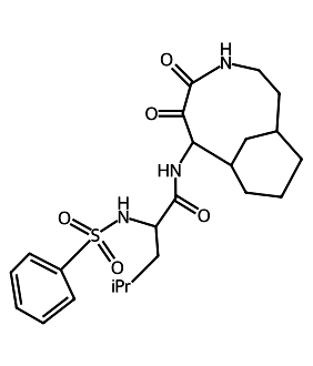 CC(C)CC(NS(=O)(=O)c1ccccc1)C(=O)NC1C(=O)C(=O)NCCC2CCCC1C2